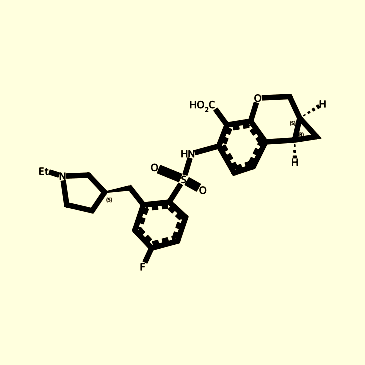 CCN1CC[C@H](Cc2cc(F)ccc2S(=O)(=O)Nc2ccc3c(c2C(=O)O)OC[C@H]2C[C@@H]32)C1